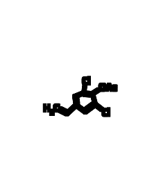 C=Cc1cc(Cl)c(OC(C)=O)c(Cl)c1